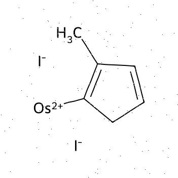 CC1=[C]([Os+2])CC=C1.[I-].[I-]